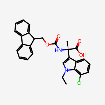 CCn1cc([C@](C)(NC(=O)OCC2c3ccccc3-c3ccccc32)C(=O)O)c2cccc(Cl)c21